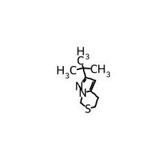 CC(C)(C)c1cc2n(n1)CSCC2